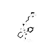 COC[C@H]1CCC[C@@H](COC(=O)NCCCn2ccnc2)N1S(=O)(=O)c1ccc(Cl)cc1